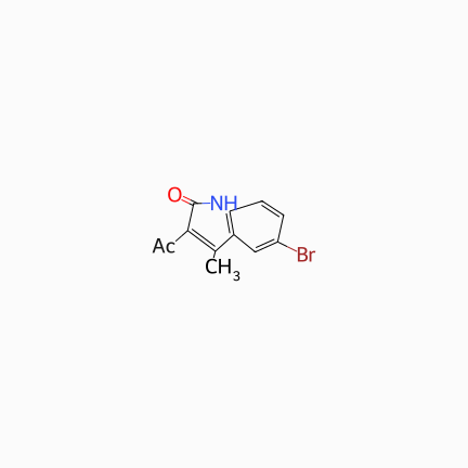 CC(=O)c1c(C)c2cc(Br)ccc2[nH]c1=O